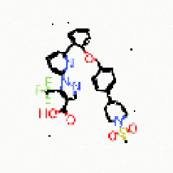 CS(=O)(=O)N1CCC(c2ccc(COc3ccccc3-c3cccc(-n4ncc(C(=O)O)c4C(F)(F)F)n3)cc2)CC1